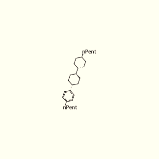 CCCCCc1ccc([C@H]2CC[C@H]([C@H]3CC[C@H](CCCCC)CC3)CC2)cc1